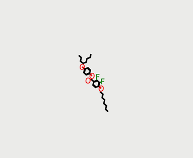 CCCCCCCCOc1ccc(C(=O)Oc2ccc(OC(CCC)CCCC)cc2)c(F)c1F